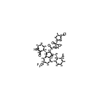 O=C(NS(=O)(=O)c1ccc(Cl)s1)c1c(-c2ccc[nH]c2=O)c2cc(C(F)(F)F)ccc2n1Cc1ccccc1F